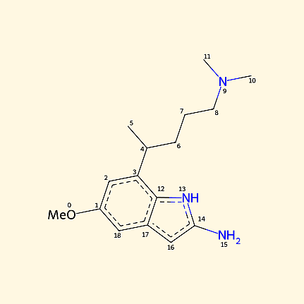 COc1cc(C(C)CCCN(C)C)c2[nH]c(N)cc2c1